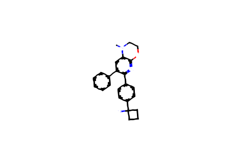 CN1CCOc2nc(-c3ccc(C4(N)CCC4)cc3)c(-c3ccccc3)cc21